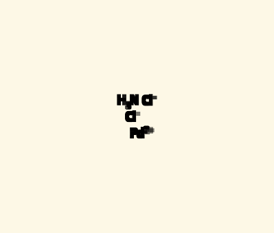 N.[Cl-].[Cl-].[Pd+2]